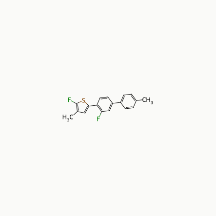 Cc1ccc(-c2ccc(-c3cc(C)c(F)s3)c(F)c2)cc1